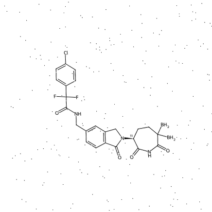 BC1(B)CC[C@H](N2Cc3cc(CNC(=O)C(F)(F)c4ccc(Cl)cc4)ccc3C2=O)C(=O)NC1=O